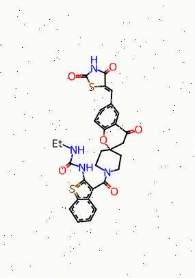 CCNC(=O)Nc1sc2ccccc2c1C(=O)N1CCC2(CC1)CC(=O)c1cc(/C=C3\SC(=O)NC3=O)ccc1O2